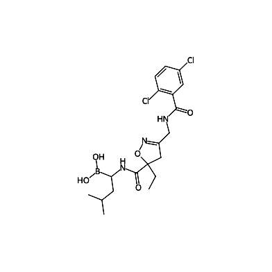 CCC1(C(=O)NC(CC(C)C)B(O)O)CC(CNC(=O)c2cc(Cl)ccc2Cl)=NO1